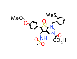 COCOc1ccc(C2=C(CNS(C)(=O)=O)C3=CN(C(=O)C(=O)O)CN(Cc4ccccc4SC)C3[S+]2[O-])cc1